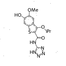 COc1cc2c(OC(C)C)c(C(=O)Nc3nnn[nH]3)sc2cc1O